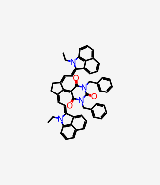 CCn1/c(=C\C=C2\CC/C(=C/C=c3/c4cccc5cccc(c54)n3CC)C2=C2C(=O)N(Cc3ccccc3)C(=O)N(Cc3ccccc3)C2=O)c2cccc3cccc1c32